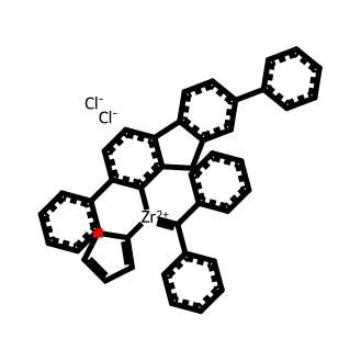 C1=CC[C]([Zr+2](=[C](c2ccccc2)c2ccccc2)[c]2c(-c3ccccc3)ccc3c2Cc2cc(-c4ccccc4)ccc2-3)=C1.[Cl-].[Cl-]